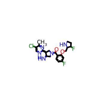 CC1=N/C(=C2\CN(C(=O)c3ccc(F)cc3OCC3NCCC3F)CC2=N)NC=C1Cl